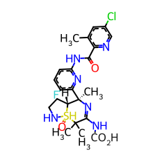 Cc1cc(Cl)cnc1C(=O)Nc1ccc(F)c([C@@]2(C)N=C(NC(=O)O)C(C)(C)[SH]3(=O)NCC[C@H]23)n1